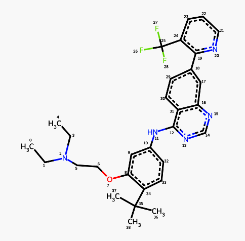 CCN(CC)CCOc1cc(Nc2ncnc3cc(-c4ncccc4C(F)(F)F)ccc23)ccc1C(C)(C)C